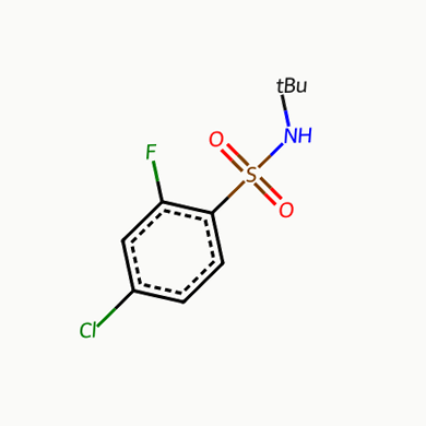 CC(C)(C)NS(=O)(=O)c1ccc(Cl)cc1F